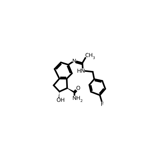 CC(=Nc1ccc2c(c1)[C@@H](C(N)=O)[C@H](O)C2)NCc1ccc(F)cc1